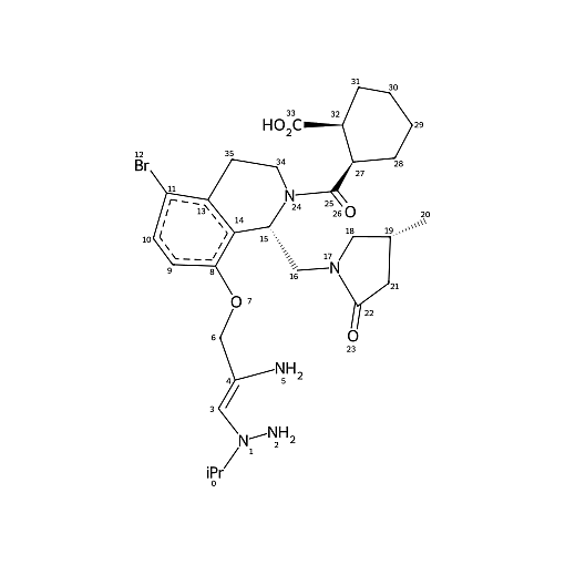 CC(C)N(N)/C=C(\N)COc1ccc(Br)c2c1[C@@H](CN1C[C@H](C)CC1=O)N(C(=O)[C@@H]1CCCC[C@@H]1C(=O)O)CC2